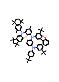 Cc1cc2c3c(c1)N(c1cc4c(cc1C)C(C)(C)CCC4(C)C)c1cc4c(cc1B3c1ccc(N(c3ccc(C(C)(C)C)cc3)c3cccc(C(C)(C)C)c3)cc1N2c1cc(C(C)(C)C)c2oc3ccccc3c2c1)C(C)(C)CC4(C)C